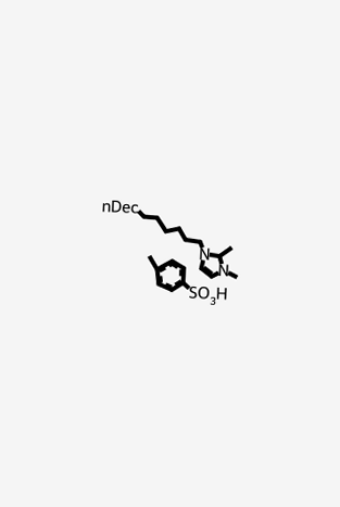 CCCCCCCCCCCCCCCCN1C=CN(C)C1C.Cc1ccc(S(=O)(=O)O)cc1